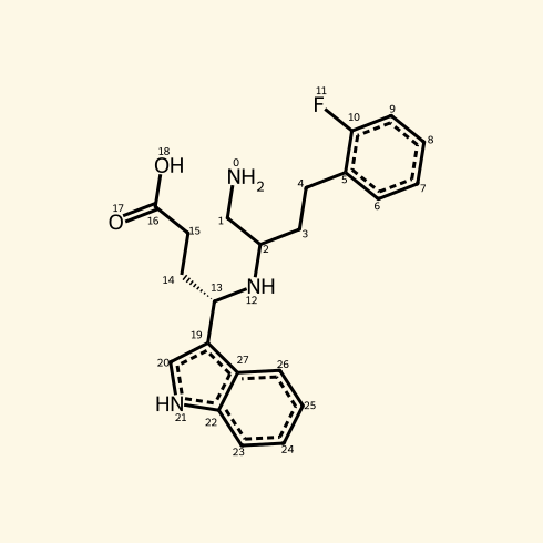 NCC(CCc1ccccc1F)N[C@@H](CCC(=O)O)c1c[nH]c2ccccc12